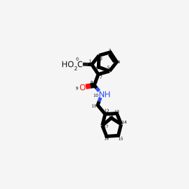 O=C(O)C1C2C=CC(C2)C1C(=O)NCC1CC2CCC1C2